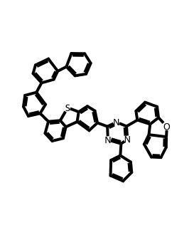 c1ccc(-c2cccc(-c3cccc(-c4cccc5c4sc4ccc(-c6nc(-c7ccccc7)nc(-c7cccc8oc9ccccc9c78)n6)cc45)c3)c2)cc1